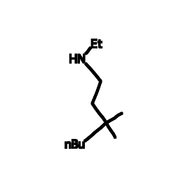 CCCCC(C)(C)CCNCC